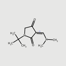 CN(C)/C=C1/C(=O)CN(C(C)(C)C)C1=O